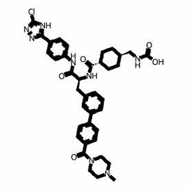 CN1CCN(C(=O)c2ccc(-c3cccc(C[C@H](NC(=O)[C@H]4CC[C@H](CNC(=O)O)CC4)C(=O)Nc4ccc(-c5nnc(Cl)[nH]5)cc4)c3)cc2)CC1